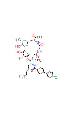 Cc1cc2cc(c1O)-c1cc(cc(Br)c1O)[C@H](N(C)C(=O)[C@H](CCCCN)NC(=O)c1ccc(-c3ccc(Cl)cc3)cc1)C(=O)NCC(=O)N[C@H](C(=O)O)C2